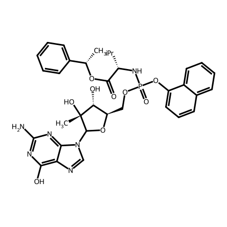 CC(C)[C@H](NP(=O)(OC[C@H]1OC(n2cnc3c(O)nc(N)nc32)[C@](C)(O)[C@@H]1O)Oc1cccc2ccccc12)C(=O)O[C@@H](C)c1ccccc1